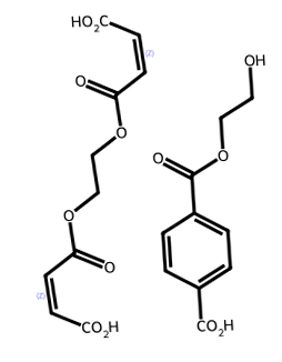 O=C(O)/C=C\C(=O)OCCOC(=O)/C=C\C(=O)O.O=C(O)c1ccc(C(=O)OCCO)cc1